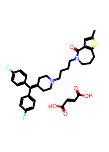 Cc1cc2c(s1)CCCN(CCCCN1CCC(=C(c3ccc(F)cc3)c3ccc(F)cc3)CC1)C2=O.O=C(O)/C=C/C(=O)O